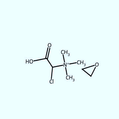 C1CO1.C[N+](C)(C)C(Cl)C(=O)O